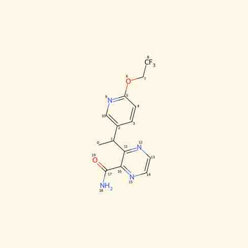 CC(c1ccc(OCC(F)(F)F)nc1)c1nccnc1C(N)=O